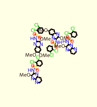 COc1cc2nc(NS(=O)(=O)c3cccc(Cl)c3Cl)c(OC)nc2cc1OC.COc1ccc2nc(OC)c(NS(=O)(=O)c3cccc(Cl)c3Cl)nc2c1.COc1nc2cccnc2nc1NS(=O)(=O)c1cccc(Cl)c1Cl.COc1nc2ncccc2nc1NS(=O)(=O)c1cccc(Cl)c1Cl